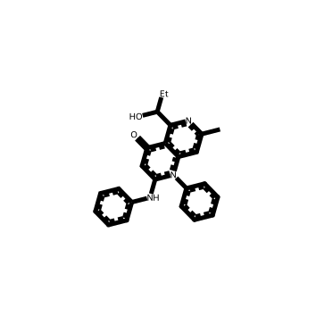 CCC(O)c1nc(C)cc2c1c(=O)cc(Nc1ccccc1)n2-c1ccccc1